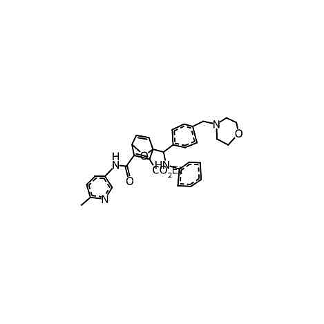 CCOC(=O)C1=C(C(=O)Nc2ccc(C)nc2)C2C=CC1(C(Nc1ccccc1)c1ccc(CN3CCOCC3)cc1)O2